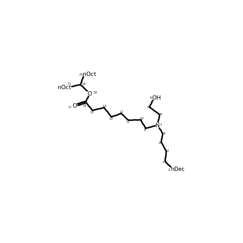 CCCCCCCCCCCCCCN(CCO)CCCCCCCC(=O)OC(CCCCCCCC)CCCCCCCC